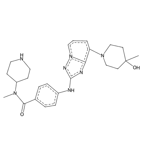 CN(C(=O)c1ccc(Nc2nc3c(N4CCC(C)(O)CC4)cccn3n2)cc1)C1CCNCC1